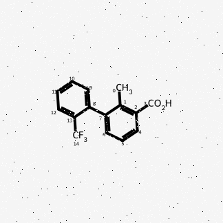 Cc1c(C(=O)O)cccc1-c1ccccc1C(F)(F)F